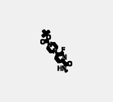 CNC(=O)c1ccc(N2CCN(C(=O)OC(C)(C)C)CC2)c(F)n1